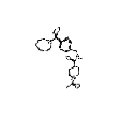 CC(=O)N1CCC(C(=O)N(C)Cc2ccc(C(=O)N3CCCCCC3)cc2)CC1